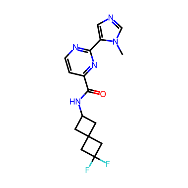 Cn1cncc1-c1nccc(C(=O)NC2CC3(C2)CC(F)(F)C3)n1